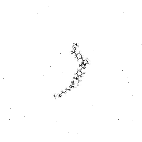 CCOC(=O)c1ccc(-c2cnc3sc(-c4ccc(N5CCC(COCCCCOC)CC5)cc4)nn23)cc1